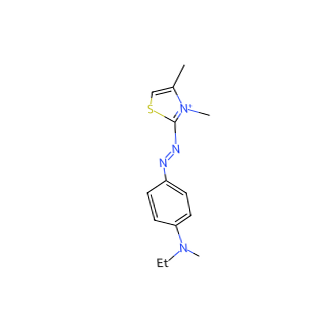 CCN(C)c1ccc(N=Nc2scc(C)[n+]2C)cc1